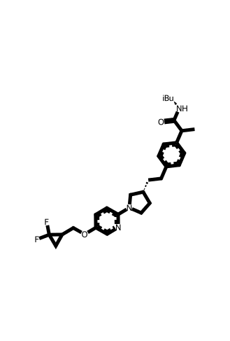 CC[C@@H](C)NC(=O)C(C)c1ccc(CC[C@@H]2CCN(c3ccc(OCC4CC4(F)F)cn3)C2)cc1